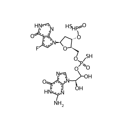 Nc1nc2c(ncn2[C@H](O)C(O)OP(=O)(S)OC[C@H]2O[C@@H](n3cc(F)c4c(=O)[nH]cnc43)C[C@@H]2O[PH](=O)S)c(=O)[nH]1